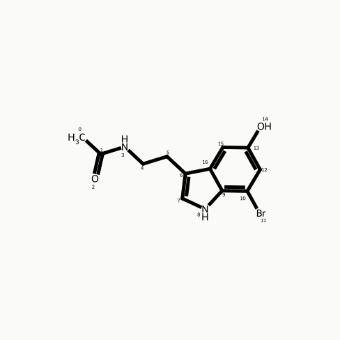 CC(=O)NCCc1c[nH]c2c(Br)cc(O)cc12